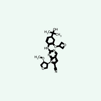 CO[C@H]1COC[C@@H]1n1c(C#N)cc2cnc(NC3=C(OC4COC4)CC(C(C)(C)O)C=C3)nc21